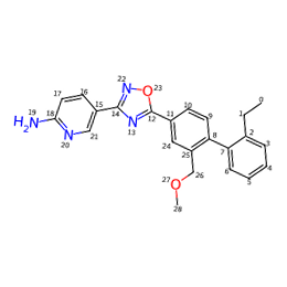 CCc1ccccc1-c1ccc(-c2nc(-c3ccc(N)nc3)no2)cc1COC